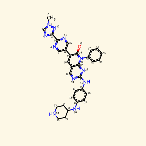 Cn1cnc(-c2ncc(-c3cc4cnc(Nc5ccc(NC6CCNCC6)cc5)nc4n(-c4ccccc4)c3=O)cn2)n1